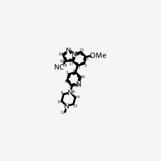 COc1cc(-c2ccc(N3CCN(C)CC3)nc2)c2c(C#N)cnn2c1